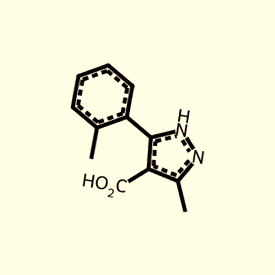 Cc1ccccc1-c1[nH]nc(C)c1C(=O)O